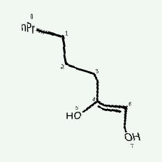 CCCCCC/C(O)=C/O